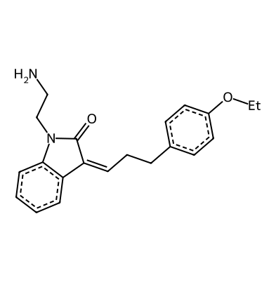 CCOc1ccc(CCC=C2C(=O)N(CCN)c3ccccc32)cc1